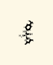 Cc1cc(C)nc(N(N)C(=N)Nc2ccc(C(C)C)cc2)n1